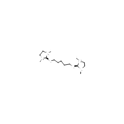 CN1CCN(C)C1=NCCCCCN=C1N(C)CCN1C